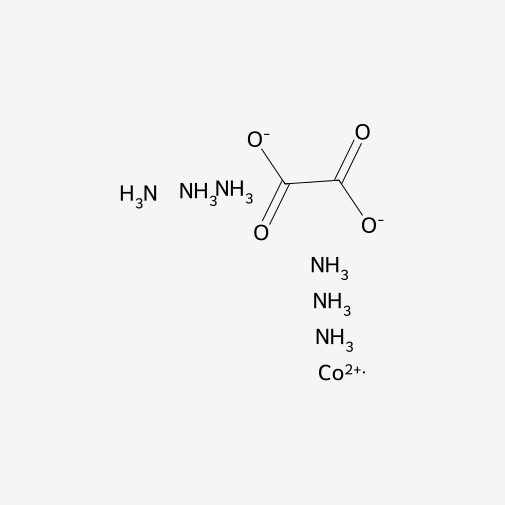 N.N.N.N.N.N.O=C([O-])C(=O)[O-].[Co+2]